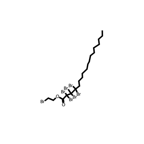 CCCCCCCCCCCCCCC(Br)(Br)C(Br)(Br)C(Br)(Br)C(=O)OCCBr